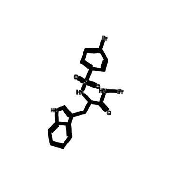 CC(C)NC(=O)C(Cc1c[nH]c2ccccc12)NS(=O)(=O)c1ccc(Br)cc1